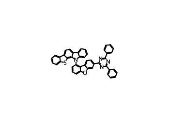 c1ccc(-c2nc(-c3ccccc3)nc(-c3ccc4c(c3)oc3cccc(-n5c6ccccc6c6ccc7c8ccccc8sc7c65)c34)n2)cc1